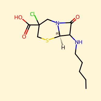 CCCCCNC1C(=O)N2CC(Cl)(C(=O)O)CS[C@H]12